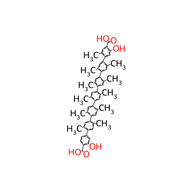 Cc1cc(-c2cc(C)c(-c3cc(C)c(-c4cc(C)c(-c5cc(C)c(-c6cc(O)c(C(=O)O)cc6C)cc5C)cc4C)cc3C)cc2C)c(C)cc1-c1ccc(C(=O)O)c(O)c1